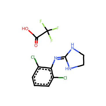 Clc1cccc(Cl)c1N=C1NCCN1.O=C(O)C(F)(F)F